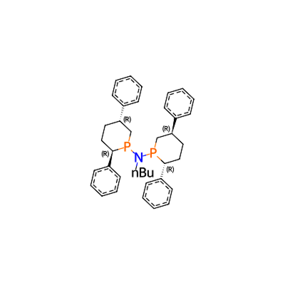 CCCCN(P1C[C@@H](c2ccccc2)CC[C@@H]1c1ccccc1)P1C[C@@H](c2ccccc2)CC[C@@H]1c1ccccc1